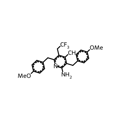 COc1ccc(Cc2nc(N)c(Cc3ccc(OC)cc3)c(C)c2CC(F)(F)F)cc1